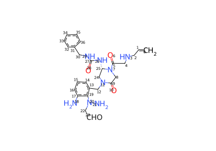 C=CCNCC(=O)N1CC(=O)N(Cc2cccc(N)c2N(N)CC=O)C[C@@H]1NC(=O)NCc1ccccc1